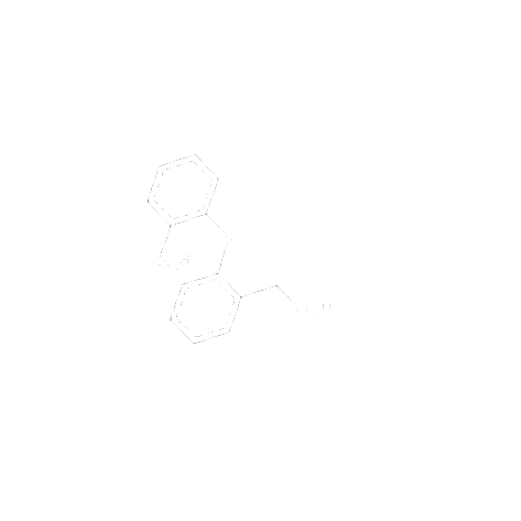 O=C(O)Cc1ccccc1Sc1ccccc1C(=O)O